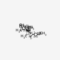 CCCN(CC(c1ccc(COC)cc1)C1CC1)c1nc(C)n(-c2cc(C)c(OC)cc2Cl)n1.Cl